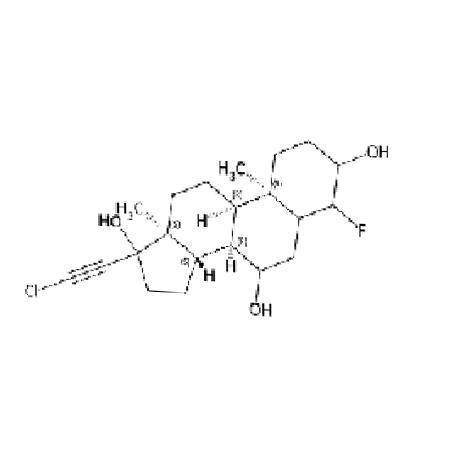 C[C@]12CCC(O)C(F)C1CC(O)[C@@H]1[C@H]2CC[C@@]2(C)[C@H]1CCC2(O)C#CCl